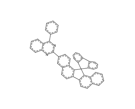 c1ccc(-c2nc(-c3ccc4c5c(ccc4c3)-c3ccc4ccccc4c3C53c4ccccc4-c4ccccc43)nc3ccccc23)cc1